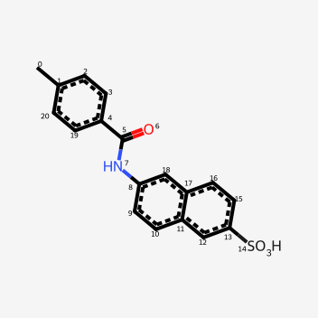 Cc1ccc(C(=O)Nc2ccc3cc(S(=O)(=O)O)ccc3c2)cc1